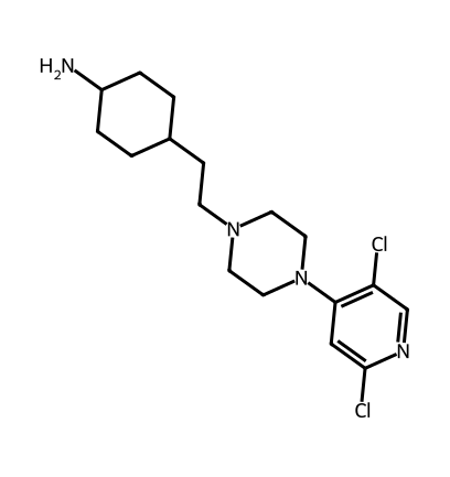 NC1CCC(CCN2CCN(c3cc(Cl)ncc3Cl)CC2)CC1